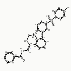 Cc1ccc(S(=O)(=O)c2ccc3c(c2)c2cccc4c2n3CC/C4=N\OC(=O)c2ccccc2)cc1